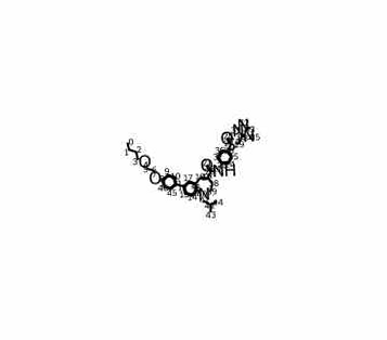 CCCCOCCOc1ccc(-c2ccc3c(c2)C=C(C(=O)Nc2ccc([S+]([O-])Cc4nncn4C)cc2)CCN3CC(C)C)cc1